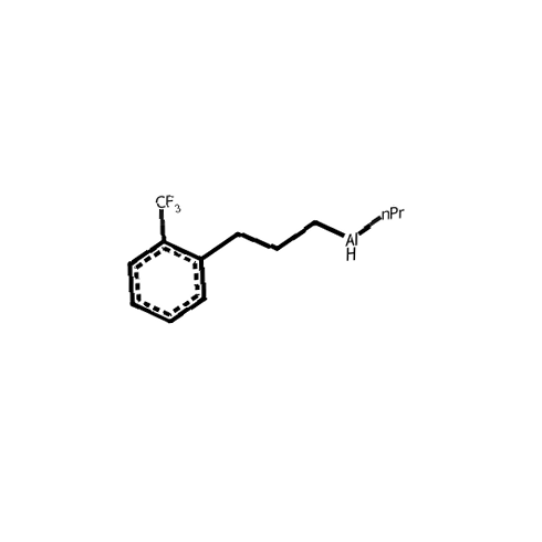 CC[CH2][AlH][CH2]CCc1ccccc1C(F)(F)F